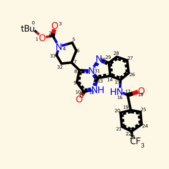 CC(C)(C)OC(=O)N1CCC(c2cc(=O)[nH]c3c4c(NC(=O)c5ccc(C(F)(F)F)cc5)cccc4nn23)CC1